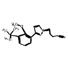 COc1c(-c2ccn(CCC#N)n2)cccc1C(C)(C)C